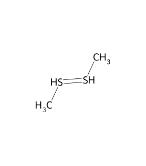 C[SH]=[SH]C